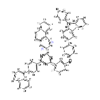 C=C/C=C(\C=C/c1cccc2ccccc12)c1nc(-c2ccc(-c3cccc4ccccc34)cc2)nc(-c2cccc(Oc3ccc(-c4ccc5c(c4)c4ccccc4n5-c4ccccc4)cc3)c2)n1